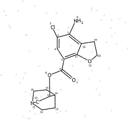 Nc1c(Cl)cc(C(=O)OC2CN3CCC2CC3)c2c1CCO2